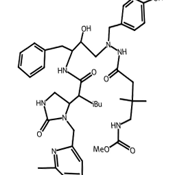 CCC(C)C(C(=O)NC(Cc1ccccc1)C(O)CN(Cc1ccc(O)cc1)NC(=O)CC(C)(C)CNC(=O)OC)C1CNC(=O)N1Cc1cccc(C)n1